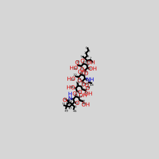 CCCCC(C)(CCC)OC1C(C(=O)O)OC(OC2C(O)C(CO)OC(OC3C(C(=O)O)OC(OC4C(O)C(CO)OC(C(C)(CC)CC(C)(C)C)C4NC(C)=O)C(O)C3C)C2NC(C)=O)C(O)C1O